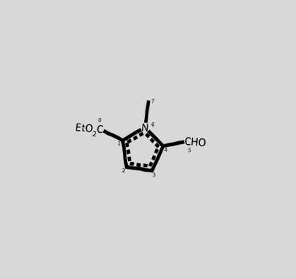 CCOC(=O)c1ccc(C=O)n1C